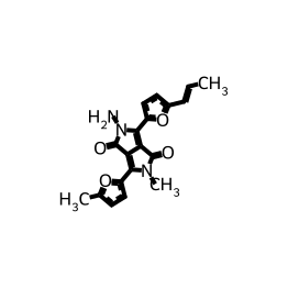 C/C=C/c1ccc(C2=C3C(=O)N(C)C(c4ccc(C)o4)=C3C(=O)N2N)o1